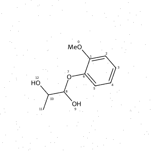 COc1ccccc1OC(O)C(C)O